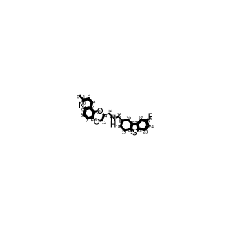 Cc1ccc2c3c(ccc2n1)OC[C@H](CNC[C@@H]1CCc2sc4ccc(F)cc4c2C1)O3